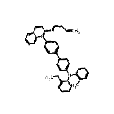 C=C/C=C\C=C1/C=Cc2ccccc2N1c1ccc(-c2ccc(N(C3=C(C)C=CCC3)C3CC=CC=C3CC)cc2)cc1